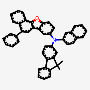 CC1(C)c2ccccc2-c2ccc(N(c3ccc4ccccc4c3)c3ccc4oc5c6ccccc6c(-c6ccccc6)cc5c4c3)cc21